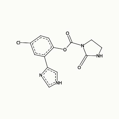 O=C1NCCN1C(=O)Oc1ccc(Cl)cc1-c1c[nH]cn1